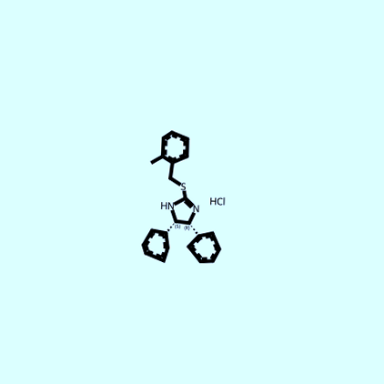 Cc1ccccc1CSC1=N[C@H](c2ccccc2)[C@H](c2ccccc2)N1.Cl